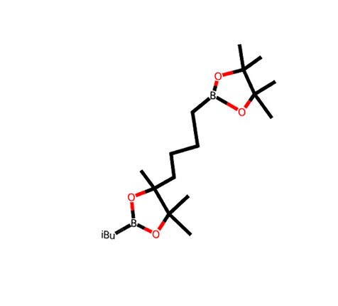 CCC(C)B1OC(C)(C)C(C)(CCCCB2OC(C)(C)C(C)(C)O2)O1